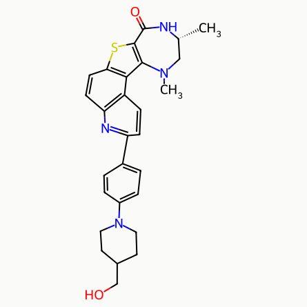 C[C@@H]1CN(C)c2c(sc3ccc4nc(-c5ccc(N6CCC(CO)CC6)cc5)ccc4c23)C(=O)N1